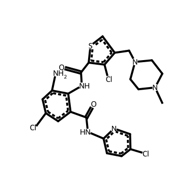 CN1CCN(Cc2csc(C(=O)Nc3c(N)cc(Cl)cc3C(=O)Nc3ccc(Cl)cn3)c2Cl)CC1